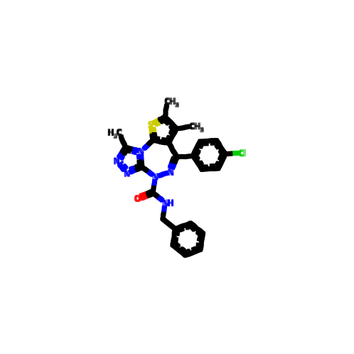 Cc1sc2c(c1C)C(c1ccc(Cl)cc1)=NN(C(=O)NCc1ccccc1)c1nnc(C)n1-2